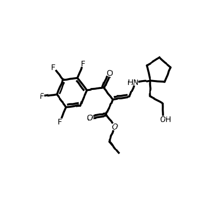 CCOC(=O)/C(=C/NC1(CCO)CCCC1)C(=O)c1cc(F)c(F)c(F)c1F